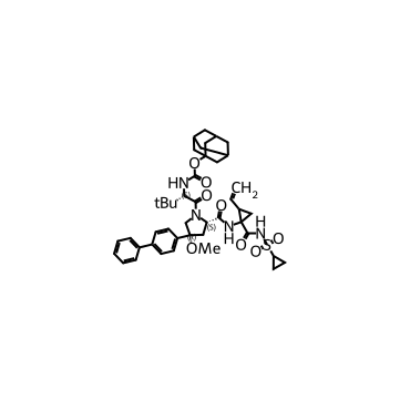 C=CC1CC1(NC(=O)[C@@H]1C[C@@](OC)(c2ccc(-c3ccccc3)cc2)CN1C(=O)[C@@H](NC(=O)OC12CC3CC(CC(C3)C1)C2)C(C)(C)C)C(=O)NS(=O)(=O)C1CC1